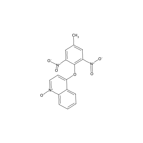 Cc1cc([N+](=O)[O-])c(Oc2cc[n+]([O-])c3ccccc23)c([N+](=O)[O-])c1